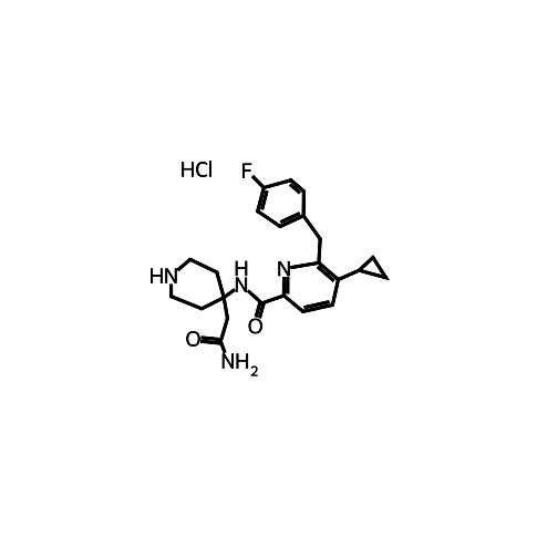 Cl.NC(=O)CC1(NC(=O)c2ccc(C3CC3)c(Cc3ccc(F)cc3)n2)CCNCC1